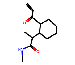 C=CC(=O)C1CCCCC1C(C)C(=O)NC